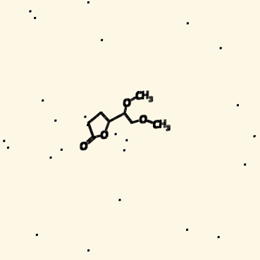 COCC(OC)C1CCC(=O)O1